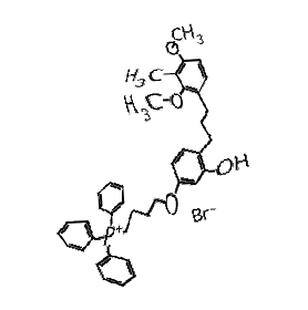 COc1ccc(CCCc2ccc(OCCCC[P+](c3ccccc3)(c3ccccc3)c3ccccc3)cc2O)c(OC)c1C.[Br-]